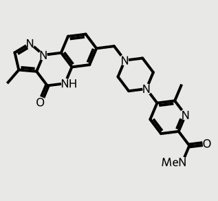 CNC(=O)c1ccc(N2CCN(Cc3ccc4c(c3)[nH]c(=O)c3c(C)cnn34)CC2)c(C)n1